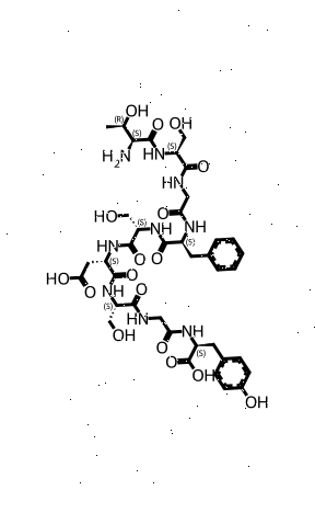 C[C@@H](O)[C@H](N)C(=O)N[C@@H](CO)C(=O)NCC(=O)N[C@@H](Cc1ccccc1)C(=O)N[C@@H](CO)C(=O)N[C@@H](CC(=O)O)C(=O)N[C@@H](CO)C(=O)NCC(=O)N[C@@H](Cc1ccc(O)cc1)C(=O)O